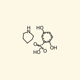 C1CCNCC1.O=S(=O)(O)c1cc(O)ccc1O